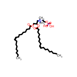 CCCCCCCC/C=C\CCCCCCCC(=O)OCC(C[N+](C)(C)CCOP(=O)(O)O)OC(=O)CCCCCCC/C=C\CCCCCCCC